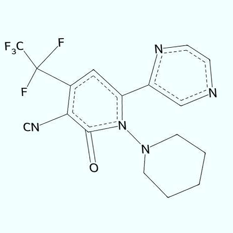 [C-]#[N+]c1c(C(F)(F)C(F)(F)F)cc(-c2cnccn2)n(N2CCCCC2)c1=O